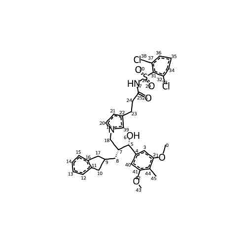 COc1cc([C@@H](O)[C@H](CC2Cc3ccccc3C2)Cn2ccc(CCC(=O)NS(=O)(=O)c3c(Cl)cccc3Cl)c2)cc(OC)c1C